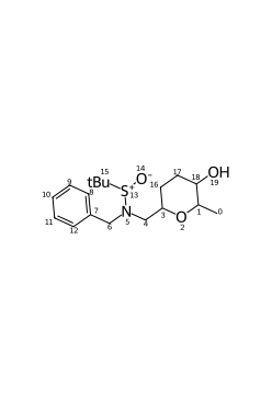 CC1OC(CN(Cc2ccccc2)[S+]([O-])C(C)(C)C)CCC1O